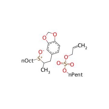 C=CCOS(=O)(=O)OCCCCC.CCCCCCCC[S+]([O-])C(C)Cc1ccc2c(c1)OCO2